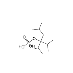 CC(C)CC(OP(=O)(O)O)(C(C)C)C(C)C